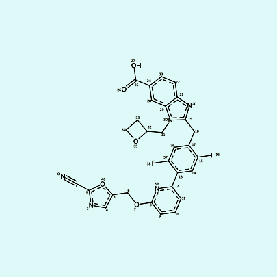 N#Cc1ncc(COc2cccc(-c3cc(F)c(Cc4nc5ccc(C(=O)O)cc5n4CC4CCO4)cc3F)n2)o1